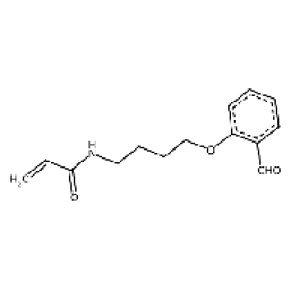 C=CC(=O)NCCCCOc1ccccc1C=O